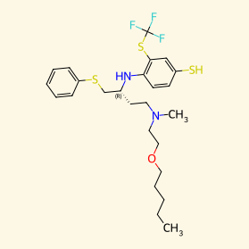 CCCCCOCCN(C)CC[C@H](CSc1ccccc1)Nc1ccc(S)cc1SC(F)(F)F